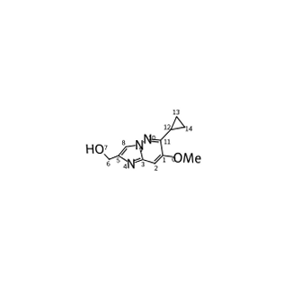 COc1cc2nc(CO)cn2nc1C1CC1